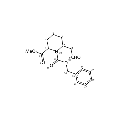 COC(=O)C1CCCC(CC=O)N1C(=O)OCc1ccccc1